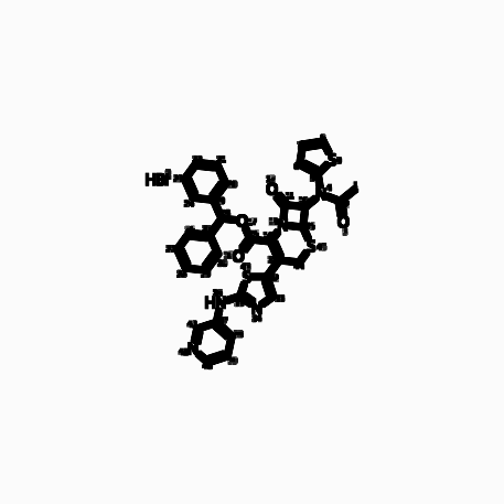 Br.CC(=O)N(c1cccs1)C1C(=O)N2C(C(=O)OC(c3ccccc3)c3ccccc3)=C(c3cnc(Nc4cccnc4)s3)CSC12